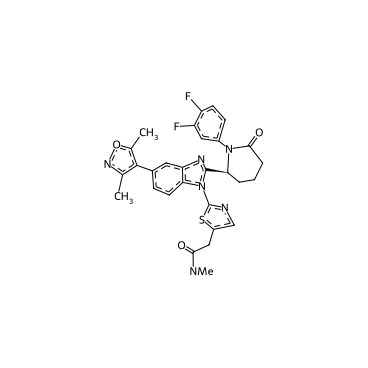 CNC(=O)Cc1cnc(-n2c([C@@H]3CCCC(=O)N3c3ccc(F)c(F)c3)nc3cc(-c4c(C)noc4C)ccc32)s1